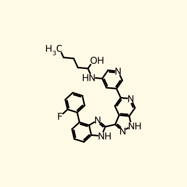 CCCCC(O)Nc1cncc(-c2cc3c(-c4nc5c(-c6ccccc6F)cccc5[nH]4)n[nH]c3cn2)c1